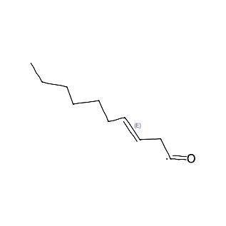 CCCCCC/C=C/C[C]=O